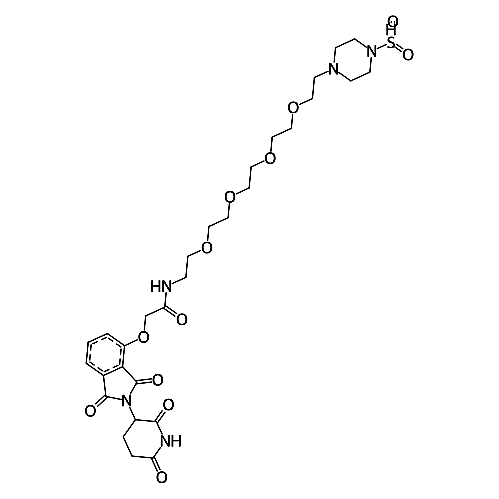 O=C(COc1cccc2c1C(=O)N(C1CCC(=O)NC1=O)C2=O)NCCOCCOCCOCCOCCN1CCN([SH](=O)=O)CC1